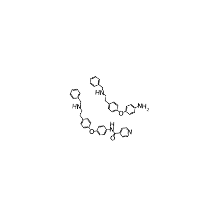 Nc1ccc(Oc2ccc(CCNCc3ccccc3)cc2)cc1.O=C(Nc1ccc(Oc2ccc(CCNCc3ccccc3)cc2)cc1)c1ccncc1